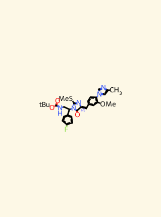 COc1cc(/C=C2\N=C(SC)N(C(CNC(=O)OC(C)(C)C)c3ccc(F)cc3)C2=O)ccc1-n1cnc(C)c1